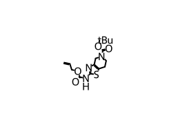 C=CCOC(=O)Nc1nc2c(s1)CCN(C(=O)OC(C)(C)C)C2